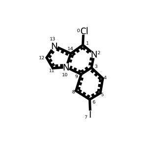 Clc1nc2ccc(I)cc2n2ccnc12